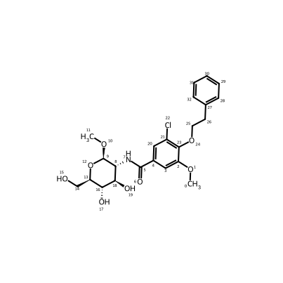 COc1cc(C(=O)N[C@H]2[C@H](OC)O[C@H](CO)[C@@H](O)[C@@H]2O)cc(Cl)c1OCCc1ccccc1